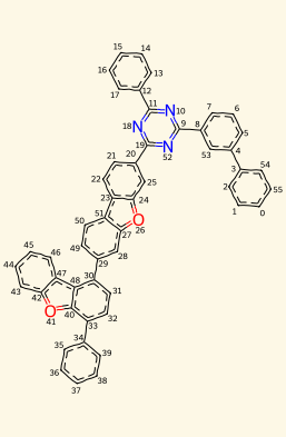 c1ccc(-c2cccc(-c3nc(-c4ccccc4)nc(-c4ccc5c(c4)oc4cc(-c6ccc(-c7ccccc7)c7oc8ccccc8c67)ccc45)n3)c2)cc1